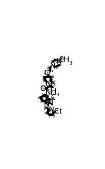 CCc1cccc(Cn2nc(C)c3c(NC(=O)c4cnc5cc(OCCN6CCN(C)CC6)ccn45)cccc32)n1